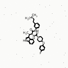 C[C@@H](c1c[nH]c2ccccc12)[C@@H](NC(=O)N1CCC(Oc2ccc(F)cc2)CC1)C(=O)Nc1cccc(CCN(C)C)c1